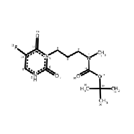 CN(CCCn1c(=O)[nH]cc(F)c1=O)C(=O)OC(C)(C)C